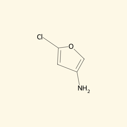 Nc1coc(Cl)c1